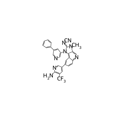 Cn1c(=NC#N)n(-c2cncc(-c3ccccc3)c2)c2c3cc(-c4cnc(N)c(C(F)(F)F)c4)ccc3ncc21